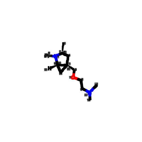 CC(C)N1[C@H](C)C[C@@]2(COCCN(C)C)C[C@@H]12